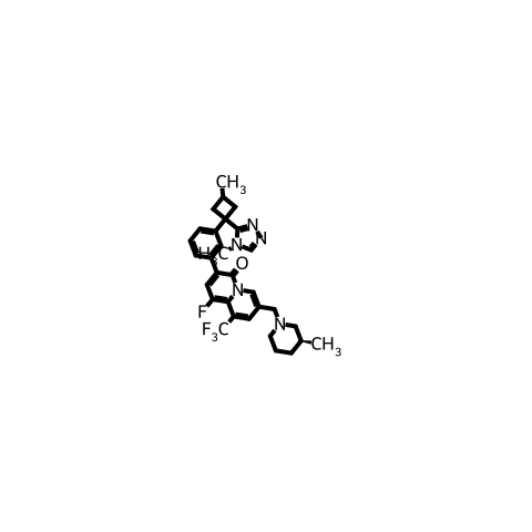 CC1CC(c2cccc(-c3cc(F)c4c(C(F)(F)F)cc(CN5CCC[C@H](C)C5)cn4c3=O)c2)(c2nncn2C)C1